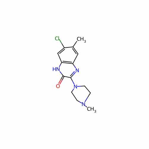 Cc1cc2nc(N3CCN(C)CC3)c(=O)[nH]c2cc1Cl